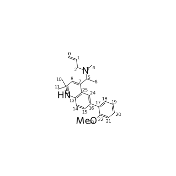 C=CCN(C)C(C)C1=CC(C)(C)Nc2ccc(-c3ccccc3OC)cc21